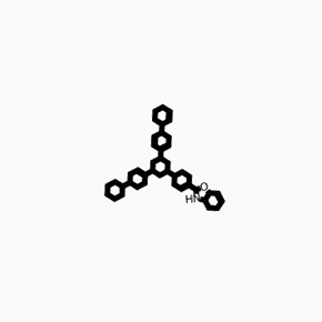 C1=CC(C2C=CC(C3CC(C4=CCC(C5CCCCC5)CC4)CC(C4CC=C(C5NC6CCC=CC6O5)CC4)C3)=CC2)CCC1